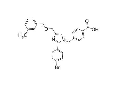 Cc1cccc(COCc2cn(Cc3ccc(C(=O)O)cc3)c(-c3ccc(Br)cc3)n2)c1